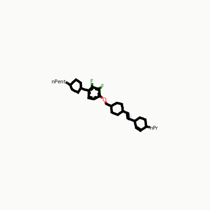 CCCCCC1CCC(c2ccc(OCC3CCC(/C=C/C4C=CC(CCC)CC4)CC3)c(F)c2F)CC1